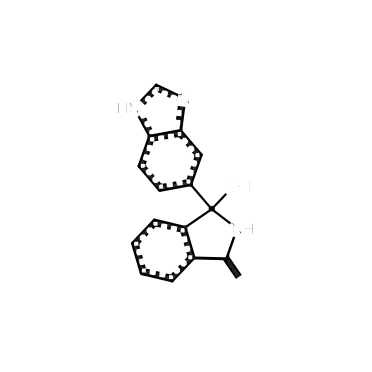 O=C1NC(O)(c2ccc3[nH][c]nc3c2)c2ccccc21